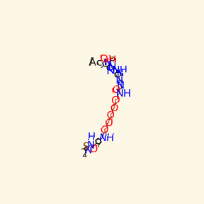 CC(=O)C1=C(C)c2cnc(Nc3ccc(N4CCN(CC(=O)NCCOCCOCCOCCOCCOCCNc5ccc(C(=O)Nc6nc(C7CC7)c(C)s6)c(C)c5)CC4)cn3)nc2N(C2CCCC2)C1O